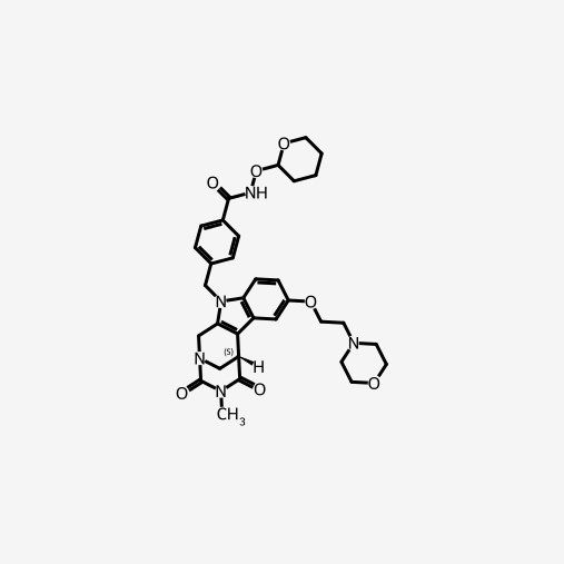 CN1C(=O)[C@@H]2CN(Cc3c2c2cc(OCCN4CCOCC4)ccc2n3Cc2ccc(C(=O)NOC3CCCCO3)cc2)C1=O